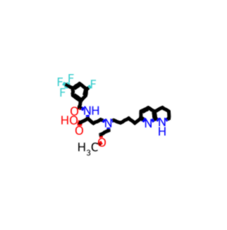 COCCN(CCCCc1ccc2c(n1)NCCC2)CCC(NC(=O)c1cc(F)cc(C(F)(F)F)c1)C(=O)O